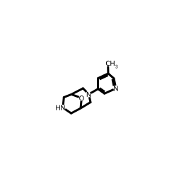 Cc1cncc(N2CC3CNCC(C2)O3)c1